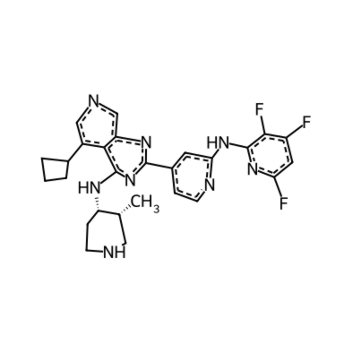 C[C@@H]1CNCC[C@@H]1Nc1nc(-c2ccnc(Nc3nc(F)cc(F)c3F)c2)nc2cncc(C3CCC3)c12